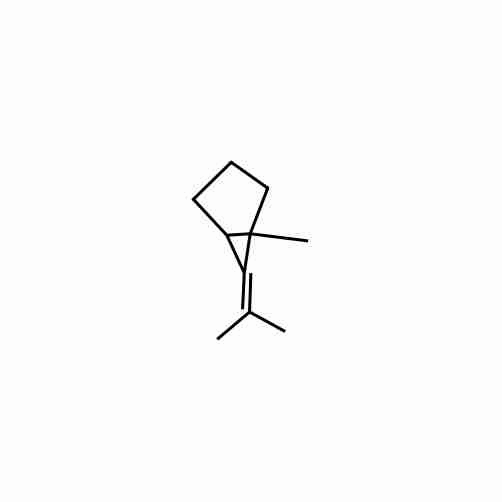 CC(C)=C1C2CCCC12C